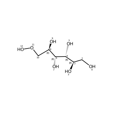 OC[C@@H](O)[C@@H](O)[C@H](O)[C@H](O)COO